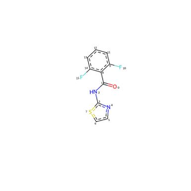 O=C(Nc1nccs1)c1c(F)cccc1F